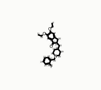 CCOc1cc2c(cc1OCC)C(=O)C(CC1CCN(Cc3ccccc3F)CC1)C2